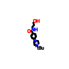 CC(C)(C)N1CCN(c2ccc(C(=O)NCCCO)cc2)CC1